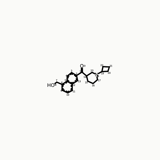 O=C(c1ccc2c(CO)cccc2c1)C1CCCN(C2CCC2)C1